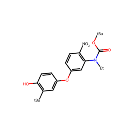 CCN(C(=O)OC(C)(C)C)c1cc(Oc2ccc(O)c(C(C)(C)C)c2)ccc1[N+](=O)[O-]